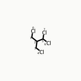 ClCC(CCl)C(Cl)Cl